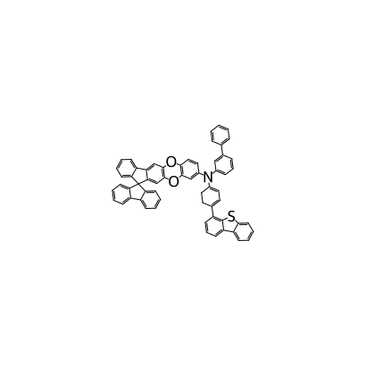 C1=C(c2cccc3c2sc2ccccc23)CCC(N(c2cccc(-c3ccccc3)c2)c2ccc3c(c2)Oc2cc4c(cc2O3)-c2ccccc2C42c3ccccc3-c3ccccc32)=C1